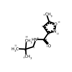 Cc1cc(C(=O)NCC(C)(C)C)no1